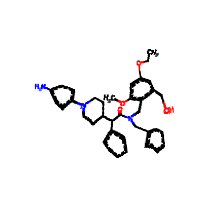 CCOc1cc(CO)c(CN(Cc2ccccc2)C(=O)C(c2ccccc2)C2CCN(c3ccc(N)cc3)CC2)c(OC)c1